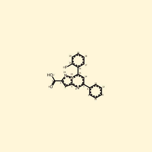 O=C(O)c1cc2nc(-c3ccccc3)cc(-c3ccccc3F)n2n1